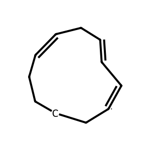 [C]1=C\C=C\C/C=C\CCCC/1